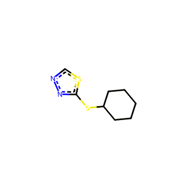 c1nnc(SC2CCCCC2)s1